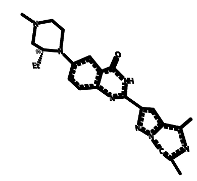 CC[C@@H]1CN(C)CCN1c1ccc2nc(-c3cc4c(C)nc(C)cn4n3)[nH]c(=O)c2c1